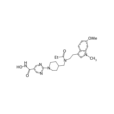 CCC(=O)N(CCc1cn(C)c2cc(OC)ccc12)CC1CCN(c2ncc(C(=O)NO)cn2)CC1